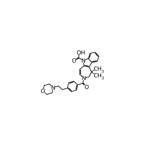 CC1(C)CN(C(=O)c2ccc(CCN3CCOCC3)cc2)C=Cc2c1c1ccccc1n2C(=O)O